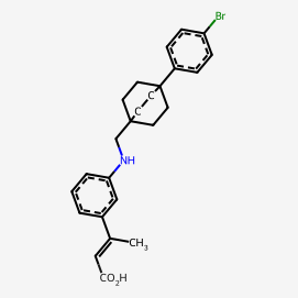 C/C(=C\C(=O)O)c1cccc(NCC23CCC(c4ccc(Br)cc4)(CC2)CC3)c1